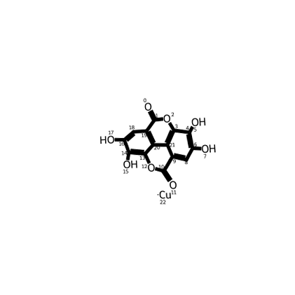 O=c1oc2c(O)c(O)cc3c(=O)oc4c(O)c(O)cc1c4c23.[Cu]